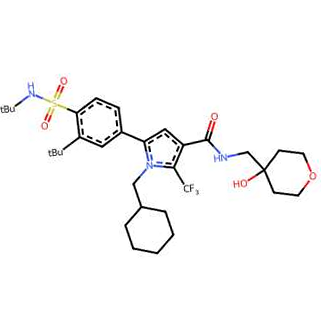 CC(C)(C)NS(=O)(=O)c1ccc(-c2cc(C(=O)NCC3(O)CCOCC3)c(C(F)(F)F)n2CC2CCCCC2)cc1C(C)(C)C